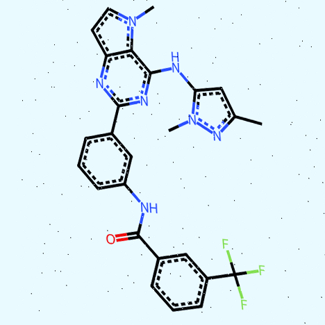 Cc1cc(Nc2nc(-c3cccc(NC(=O)c4cccc(C(F)(F)F)c4)c3)nc3ccn(C)c23)n(C)n1